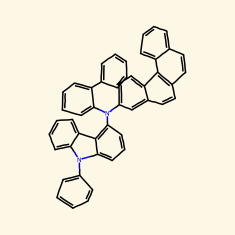 c1ccc(-c2ccccc2N(c2ccc3c(ccc4ccc5ccccc5c43)c2)c2cccc3c2c2ccccc2n3-c2ccccc2)cc1